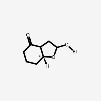 CCOC1CC2C(=O)CCC[C@H]2O1